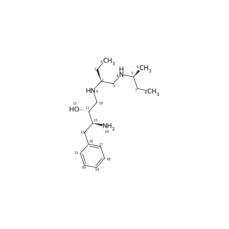 CC[C@@H](CN[C@@H](C)CC)NC[C@@H](O)[C@@H](N)Cc1ccccc1